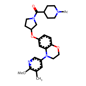 COc1ncc(N2CCOc3ccc(OC4CCN(C(=O)C5CCN(C(C)=O)CC5)C4)cc32)cc1C